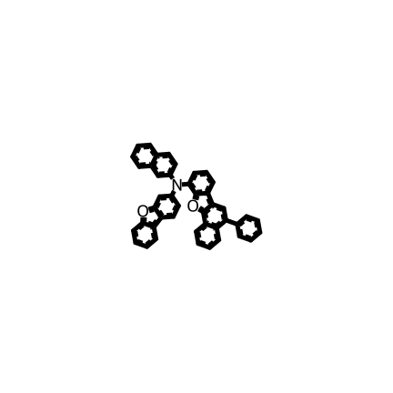 c1ccc(-c2cc3c4cccc(N(c5ccc6ccccc6c5)c5ccc6c(c5)oc5ccccc56)c4oc3c3ccccc23)cc1